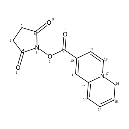 O=C(ON1C(=O)CCC1=O)C1=CC2=CC=CCN2C=C1